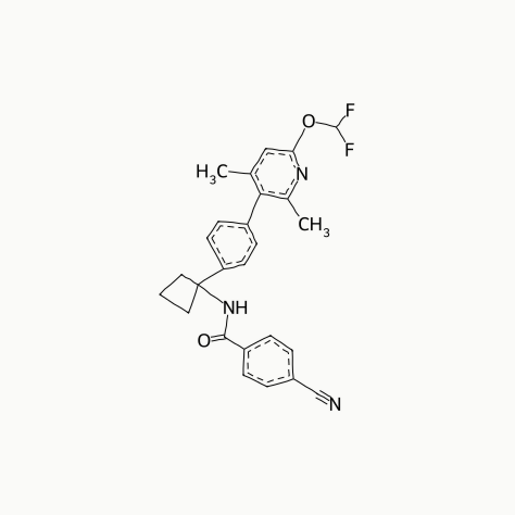 Cc1cc(OC(F)F)nc(C)c1-c1ccc(C2(NC(=O)c3ccc(C#N)cc3)CCC2)cc1